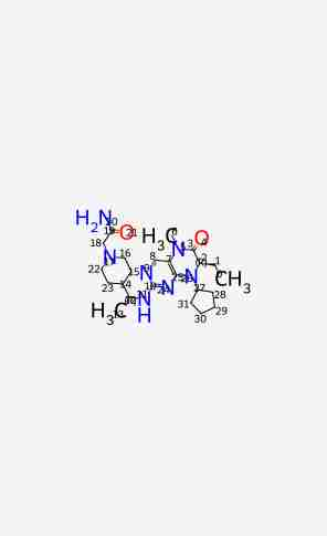 CC[C@@H]1C(=O)N(C)c2cnc(N[C@H](C)C3CCN(CC(N)=O)CC3)nc2N1C1CCCC1